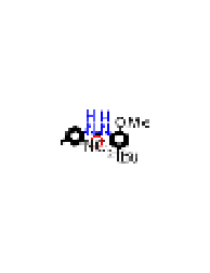 COc1ccc(C(C)(C)C)cc1NC(=O)Nc1ccc(C)cc1[N+](=O)[O-]